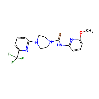 COc1cccc(NC(=S)N2CCN(c3cccc(C(F)(F)F)n3)CC2)n1